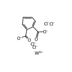 O=C([O-])c1ccccc1C(=O)[O-].[Cl-].[Cl-].[Cl-].[Cl-].[W+6]